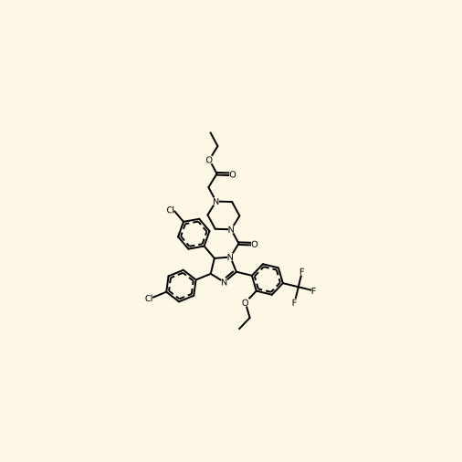 CCOC(=O)CN1CCN(C(=O)N2C(c3ccc(C(F)(F)F)cc3OCC)=NC(c3ccc(Cl)cc3)C2c2ccc(Cl)cc2)CC1